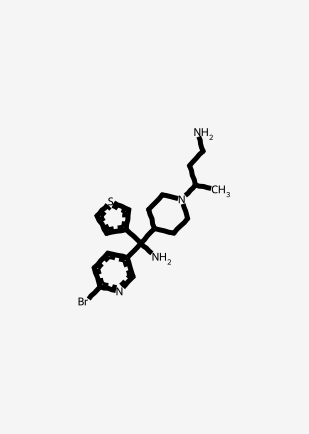 CC(CCN)N1CCC(C(N)(c2ccc(Br)nc2)c2ccsc2)CC1